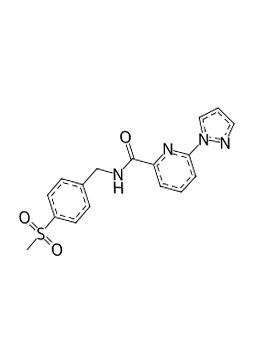 CS(=O)(=O)c1ccc(CNC(=O)c2cccc(-n3cccn3)n2)cc1